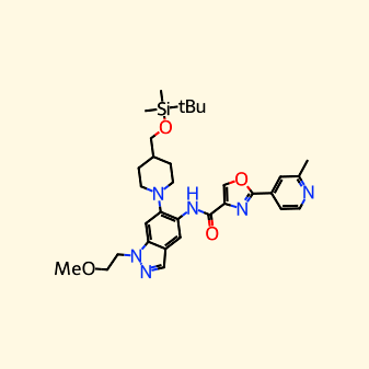 COCCn1ncc2cc(NC(=O)c3coc(-c4ccnc(C)c4)n3)c(N3CCC(CO[Si](C)(C)C(C)(C)C)CC3)cc21